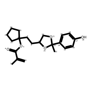 C=C(C)C(=O)OC1(CCC2COC(C)(c3ccc(O)cc3)O2)CCCC1